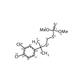 COP(=S)(OC)SCSC(C)(C)c1ccc(Cl)c(Cl)c1